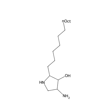 CCCCCCCCCCCCCCC1NCC(N)C1O